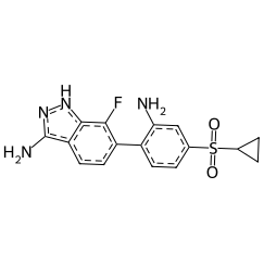 Nc1cc(S(=O)(=O)C2CC2)ccc1-c1ccc2c(N)n[nH]c2c1F